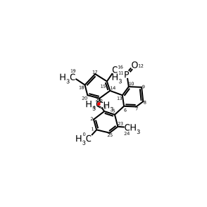 Cc1cc(C)c(-c2cccc(P=O)c2-c2c(C)cc(C)cc2C)c(C)c1